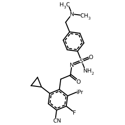 CC(C)c1c(F)c(C#N)cc(C2CC2)c1CC(=O)N=S(N)(=O)c1ccc(CN(C)C)cc1